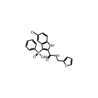 COP(=O)(c1ccccc1)c1c(C(=O)NCc2ccco2)[nH]c2ccc(Cl)cc12